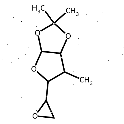 CC1C(C2CO2)OC2OC(C)(C)OC21